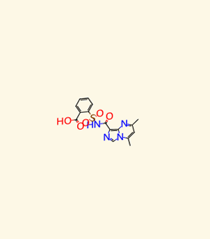 Cc1cc(C)n2cnc(C(=O)NS(=O)(=O)c3ccccc3C(=O)O)c2n1